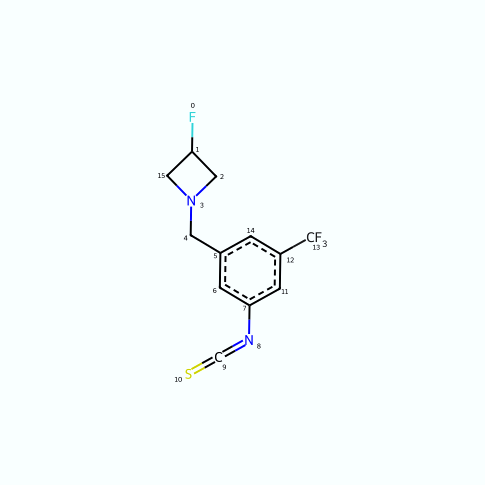 FC1CN(Cc2cc(N=C=S)cc(C(F)(F)F)c2)C1